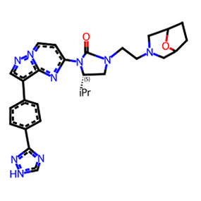 CC(C)[C@H]1CN(CCN2CC3CCC(C2)O3)C(=O)N1c1ccn2ncc(-c3ccc(-c4nc[nH]n4)cc3)c2n1